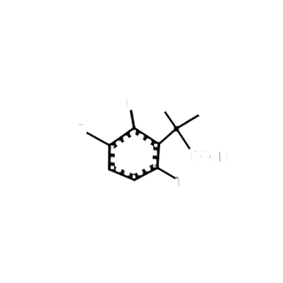 CC(C)(C(=O)O)c1c(F)ccc(F)c1F